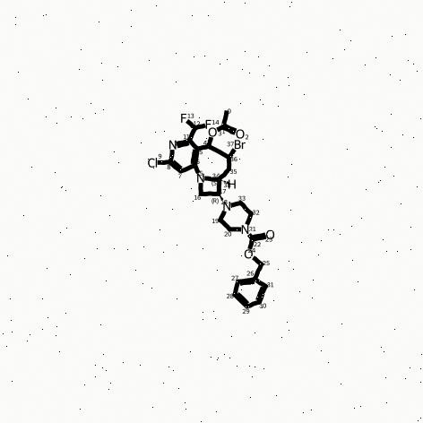 CC(=O)OC1c2c(cc(Cl)nc2C(F)F)N2C[C@@H](N3CCN(C(=O)OCc4ccccc4)CC3)[C@@H]2CC1Br